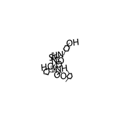 Cc1cccc(C)c1OCC(=O)N[C@@H](Cc1ccccc1)[C@H](O)C(=O)N1CSC(C)(C)[C@H]1C(=O)NCc1ccc(O)cc1